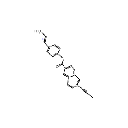 CC#Cc1ccc2cc(C(=O)Oc3ccc(/C=C/C(=O)O)cc3)ccc2c1